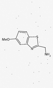 COc1ccc2sc(CN)nc2c1